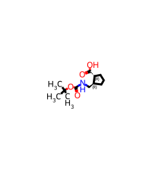 CC(C)(C)OC(=O)NC[C@@H]1CCC[C@H]1C(=O)O